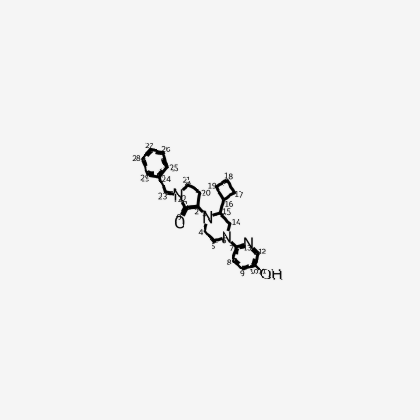 O=C1C(N2CCN(c3ccc(O)cn3)CC2C2CCC2)CCN1Cc1ccccc1